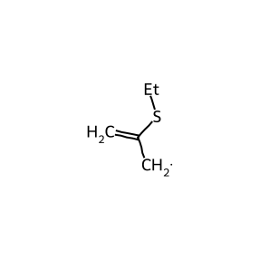 [CH2]C(=C)SCC